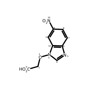 O=C(O)COn1cnc2ccc([N+](=O)[O-])cc21